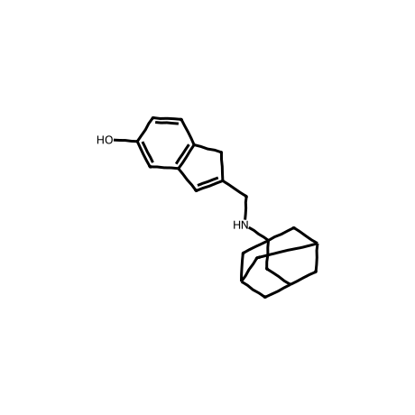 Oc1ccc2c(c1)C=C(CNC13CC4CC(CC(C4)C1)C3)C2